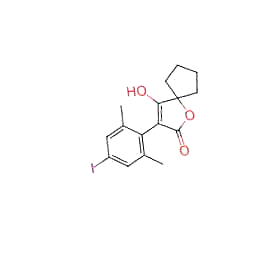 Cc1cc(I)cc(C)c1C1=C(O)C2(CCCC2)OC1=O